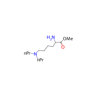 [CH2][CH]CN(C[CH][CH2])CCCCC(N)C(=O)OC